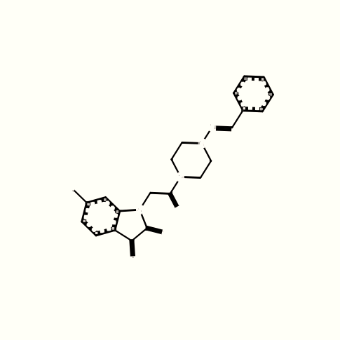 O=C1C(=O)N(CC(=O)N2CCN(N=Cc3ccccc3)CC2)c2cc(Cl)ccc21